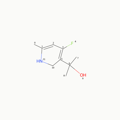 CC1=CC(F)=C(C(C)(C)O)CN1